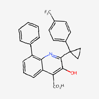 O=C(O)c1c(O)c(C2(c3ccc(C(F)(F)F)cc3)CC2)nc2c(-c3ccccc3)cccc12